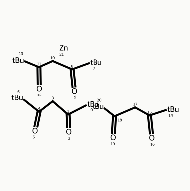 CC(C)(C)C(=O)CC(=O)C(C)(C)C.CC(C)(C)C(=O)CC(=O)C(C)(C)C.CC(C)(C)C(=O)CC(=O)C(C)(C)C.[Zn]